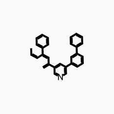 C=C(/C=C(\C=C/C)c1ccccc1)c1cncc(-c2cccc(-c3ccccc3)c2)c1